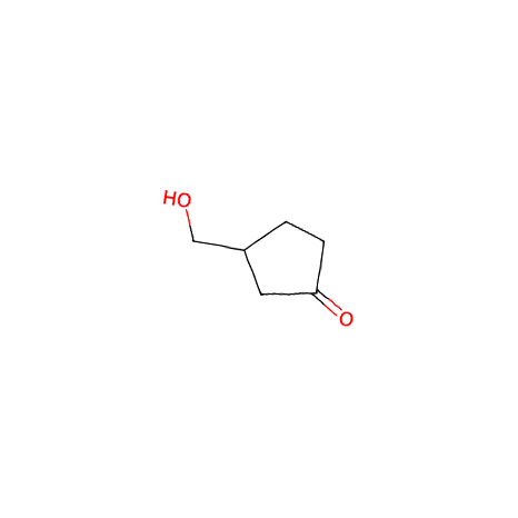 O=C1CCC(CO)C1